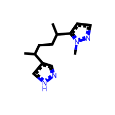 CC(CCC(C)c1ccnn1C)c1cn[nH]c1